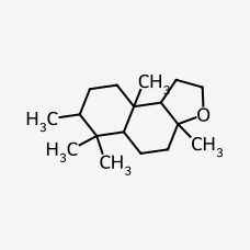 CC1CCC2(C)C3CCOC3(C)CCC2C1(C)C